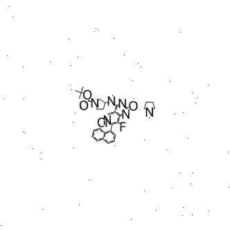 CN1CCC[C@H]1COc1nc(N(C)[C@H]2CCN(C(=O)OC(C)(C)C)C2)c2cnc(-c3cccc4cccc(Cl)c34)c(F)c2n1